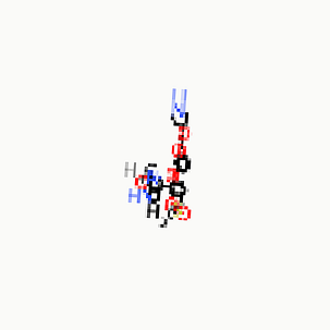 Cn1cc(-c2cc(CS(C)(=O)=O)ccc2Oc2cccc(OCCOC3CCNCC3)c2)c2cc[nH]c2c1=O